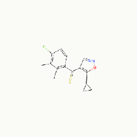 Cc1c(F)ccc(C(=S)c2cnoc2C2CC2)c1C